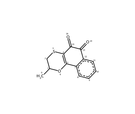 [CH2]C1CSC2=C(O1)c1ccccc1C(=O)C2=O